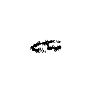 COCCOCCNC(=O)C(CSSCCCC(=O)OCc1ccc(-c2ccnc3ccc(-c4cnc(OC)c(N)c4)cc23)cn1)NC(=O)CCc1cccc2c1CN(C(=O)C[C@@H]1C[C@@H](CN3CC(C)(F)C[C@H]3C#N)NC1=O)C2